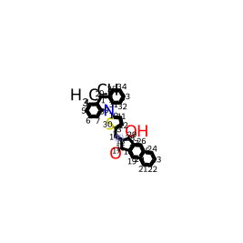 CC1(C)c2ccccc2N(c2ccc(/C=C3/C(=O)c4cc5ccccc5cc4C3O)s2)c2ccccc21